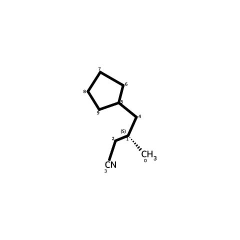 C[C@H](CC#N)CC1CCCC1